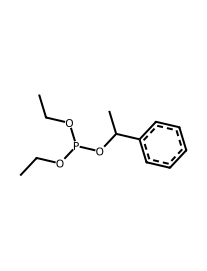 CCOP(OCC)OC(C)c1ccccc1